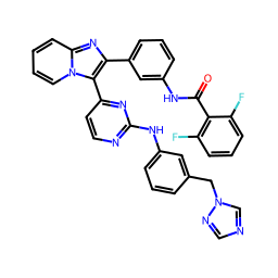 O=C(Nc1cccc(-c2nc3ccccn3c2-c2ccnc(Nc3cccc(Cn4cncn4)c3)n2)c1)c1c(F)cccc1F